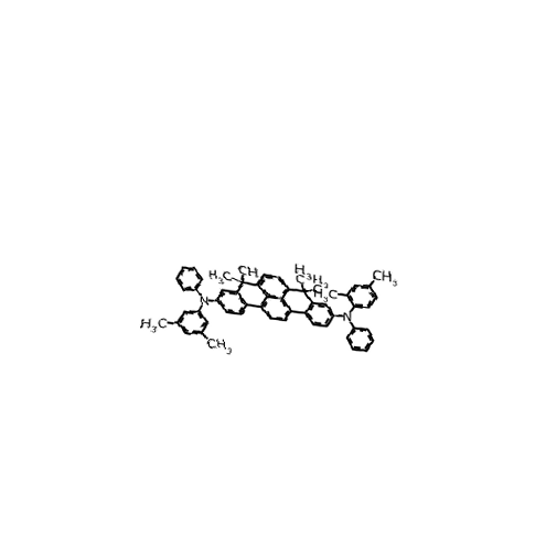 Cc1cc(C)cc(N(c2ccccc2)c2ccc3c(c2)C(C)(C)c2ccc4c5c(ccc-3c25)-c2ccc(N(c3ccccc3)c3ccc(C)cc3C)cc2C4(C)C)c1